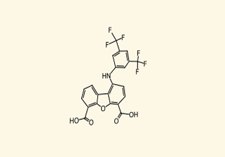 O=C(O)c1cccc2c1oc1c(C(=O)O)ccc(Nc3cc(C(F)(F)F)cc(C(F)(F)F)c3)c12